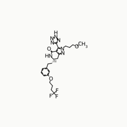 COCCCn1nc2c(c1-c1nn[nH]n1)C(=O)N[C@@H](CCc1cccc(OCCCC(F)(F)F)c1)C2